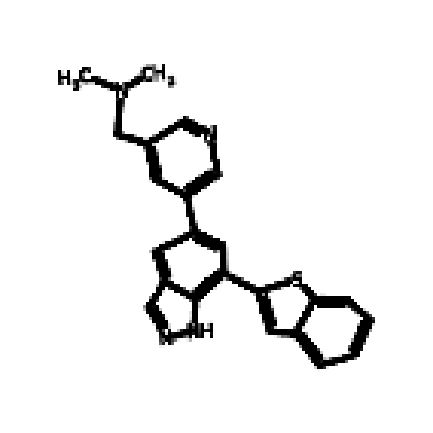 CN(C)Cc1cncc(-c2cc(-c3cc4ccccc4s3)c3[nH]ncc3c2)c1